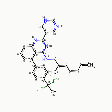 C=C/C=C\C=C(/C)CNc1nc(-c2cncnc2)nc2cccc(-c3ccc(C(C)(F)F)cc3)c12